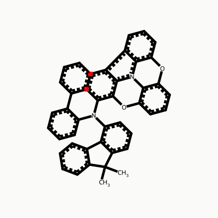 CC1(C)c2ccccc2-c2c(N(c3ccccc3-c3ccccc3)c3ccc4c5cccc6c5n5c4c3Oc3cccc(c3-5)O6)cccc21